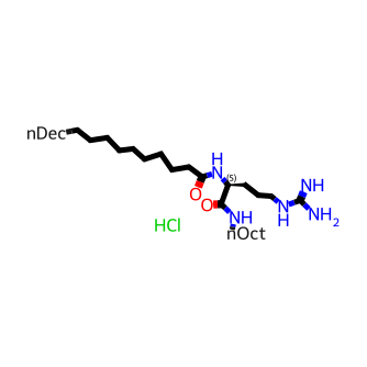 CCCCCCCCCCCCCCCCCCCC(=O)N[C@@H](CCCNC(=N)N)C(=O)NCCCCCCCC.Cl